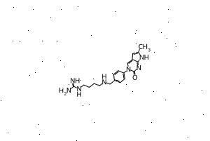 Cc1cc2cn(-c3ccc(CNCCCCNC(=N)N)cc3)c(=O)nc2[nH]1